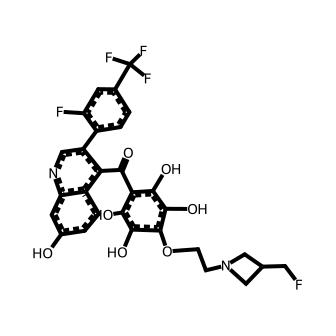 O=C(c1c(O)c(O)c(OCCN2CC(CF)C2)c(O)c1O)c1c(-c2ccc(C(F)(F)F)cc2F)cnc2cc(O)ccc12